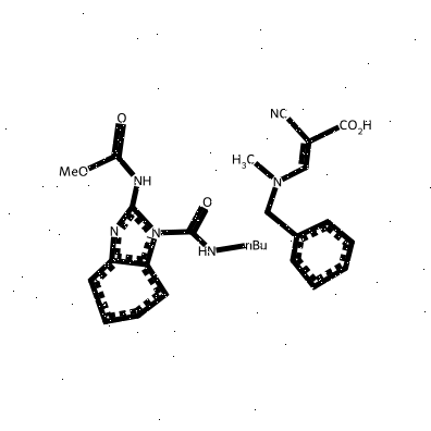 CCCCNC(=O)n1c(NC(=O)OC)nc2ccccc21.CN(/C=C(\C#N)C(=O)O)Cc1ccccc1